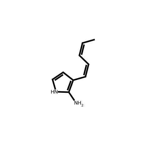 C/C=C\C=C/c1cc[nH]c1N